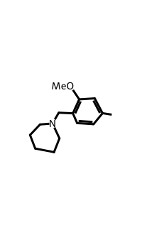 COc1cc(C)ccc1CN1CCCCC1